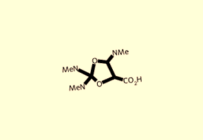 CNC1OC(NC)(NC)OC1C(=O)O